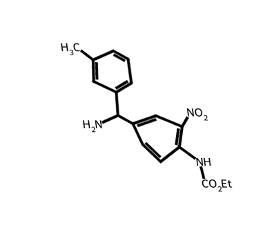 CCOC(=O)Nc1ccc(C(N)c2cccc(C)c2)cc1[N+](=O)[O-]